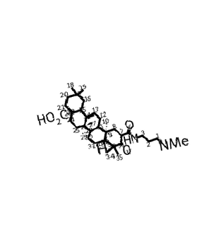 CNCCCNC(=O)C1C[C@]2(C)C3CC=C4C5CC(C)(C)CC[C@]5(C(=O)O)CC[C@@]4(C)[C@]3(C)CC[C@H]2C(C)(C)C1=O